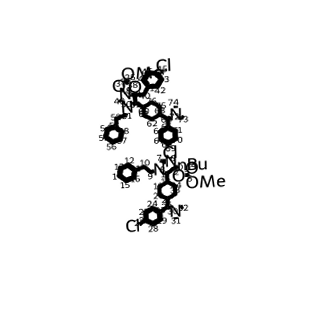 CCCCC1(OC(=O)OC)N=CN(CCc2ccccc2)C1C1CCC(C(c2ccc(Cl)cc2)N(C)C)CC1.COC(=O)OC1(Cc2ccc(Cl)cc2)N=CN(CCc2ccccc2)C1C1CCC(C(c2ccc(Cl)cc2)N(C)C)CC1